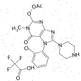 CC(=O)OOc1nc2nc(N3CCNCC3)n(-c3ccccc3Cl)c2c(=O)n1C.O=C(O)C(F)(F)F